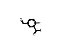 O=Cc1ccc(F)c(C(=O)I)c1